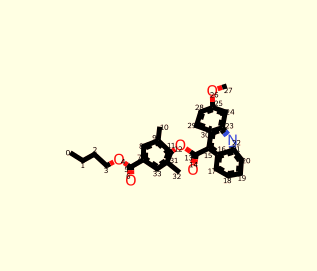 CCCCOC(=O)c1cc(C)c(OC(=O)c2c3ccccc3nc3cc(OC)ccc23)c(C)c1